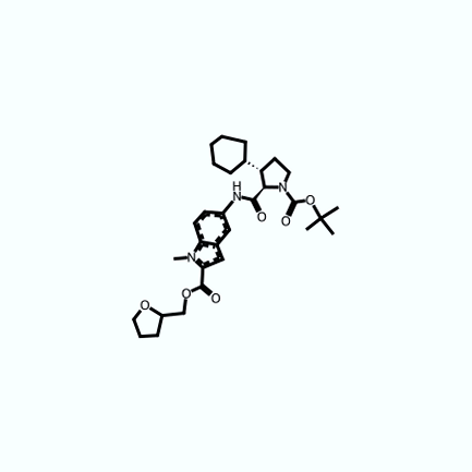 Cn1c(C(=O)OCC2CCCO2)cc2cc(NC(=O)[C@H]3[C@H](C4CCCCC4)CCN3C(=O)OC(C)(C)C)ccc21